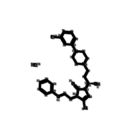 CCc1nn([C@@H](O)CCN2CCN(c3cccc(Cl)c3)CC2)c(=O)n1CCOc1ccccc1.Cl